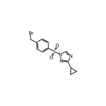 O=S(=O)(c1ccc(CBr)cc1)n1cnc(C2CC2)n1